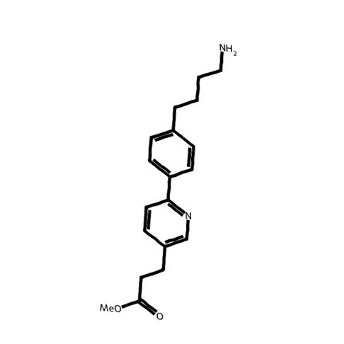 COC(=O)CCc1ccc(-c2ccc(CCCCN)cc2)nc1